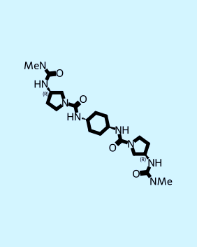 CNC(=O)N[C@@H]1CCN(C(=O)N[C@H]2CC[C@H](NC(=O)N3CC[C@@H](NC(=O)NC)C3)CC2)C1